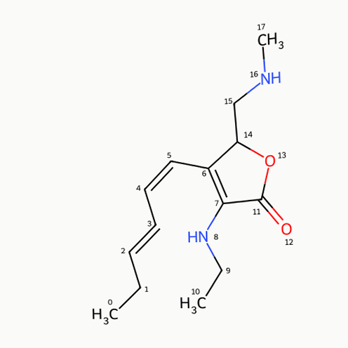 CC/C=C/C=C\C1=C(NCC)C(=O)OC1CNC